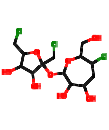 OCC1OC(OC2(CCl)OC(CCl)C(O)C2O)C(O)C(O)CC1Cl